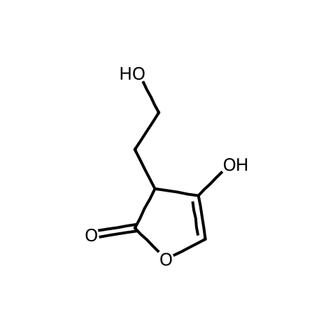 O=C1OC=C(O)C1CCO